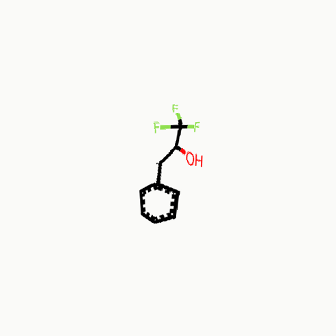 OC([CH]c1ccccc1)C(F)(F)F